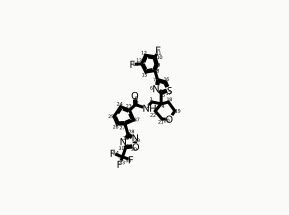 O=C(NCC1(c2nc(-c3cc(F)cc(F)c3)cs2)CCOCC1)c1cccc(-c2noc(C(F)(F)F)n2)c1